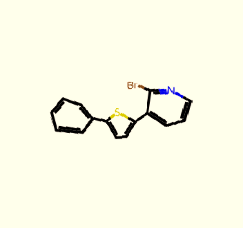 Brc1ncccc1-c1ccc(-c2ccccc2)s1